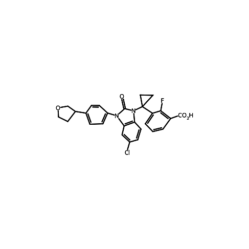 O=C(O)c1cccc(C2(n3c(=O)n(-c4ccc(C5CCOC5)cc4)c4cc(Cl)ccc43)CC2)c1F